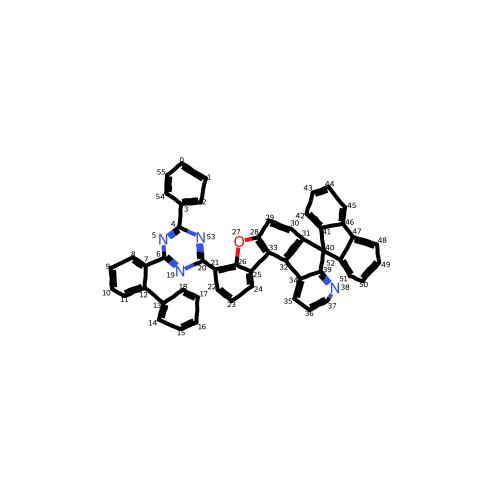 c1ccc(-c2nc(-c3ccccc3-c3ccccc3)nc(-c3cccc4c3oc3ccc5c(c34)-c3cccnc3C53c4ccccc4-c4ccccc43)n2)cc1